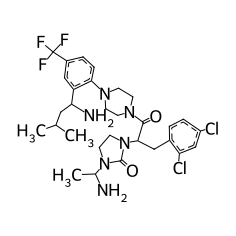 CC(C)CC(N)c1cc(C(F)(F)F)ccc1N1CCN(C(=O)C(Cc2ccc(Cl)cc2Cl)N2CCN(C(C)N)C2=O)CC1